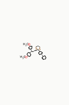 COc1ccc(C(=CC=CC2(c3ccc(-c4ccccc4)cc3)SCCCS2)c2ccc(OC)cc2)cc1